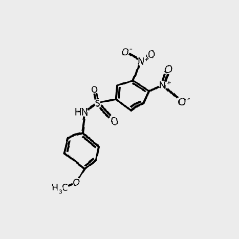 COc1ccc(NS(=O)(=O)c2ccc([N+](=O)[O-])c([N+](=O)[O-])c2)cc1